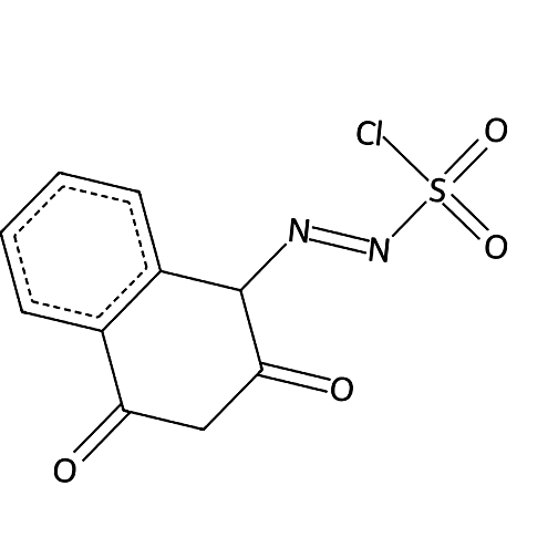 O=C1CC(=O)C(N=NS(=O)(=O)Cl)c2ccccc21